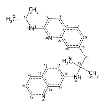 CC(C)Nc1ccc2ccc(CC(C)(C)Nc3ccc4cccnc4c3)cc2n1